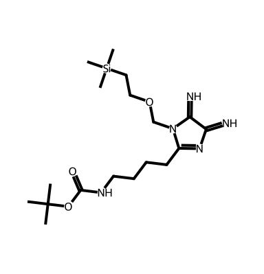 CC(C)(C)OC(=O)NCCCCC1=NC(=N)C(=N)N1COCC[Si](C)(C)C